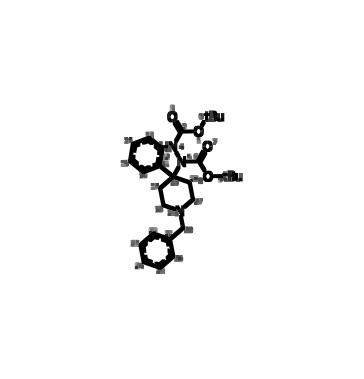 CC(C)(C)OC(=O)NN(C(=O)OC(C)(C)C)C1(c2ccccc2)CCN(Cc2ccccc2)CC1